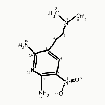 CN(C)CCc1cc([N+](=O)[O-])c(N)nc1N